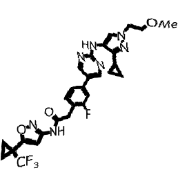 COCCn1cc(Nc2ncc(-c3ccc(CC(=O)Nc4cc(C5(C(F)(F)F)CC5)on4)c(F)c3)cn2)c(C2CC2)n1